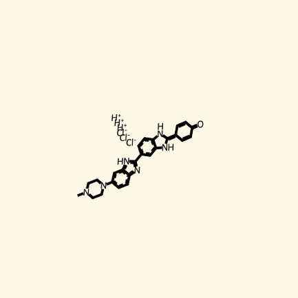 CN1CCN(c2ccc3nc(-c4ccc5c(c4)NC(=C4C=CC(=O)C=C4)N5)[nH]c3c2)CC1.[Cl-].[Cl-].[Cl-].[H+].[H+].[H+]